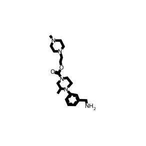 CC1CN(C(=O)OCCN2CCN(C)CC2)CCN1c1cccc(CN)c1